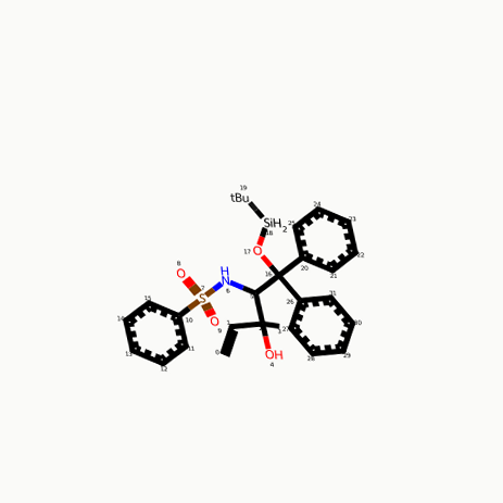 C=CC(C)(O)C(NS(=O)(=O)c1ccccc1)C(O[SiH2]C(C)(C)C)(c1ccccc1)c1ccccc1